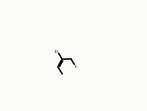 CC=C(CC)C[S]